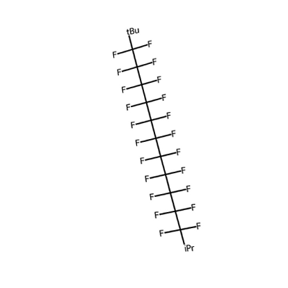 CC(C)C(F)(F)C(F)(F)C(F)(F)C(F)(F)C(F)(F)C(F)(F)C(F)(F)C(F)(F)C(F)(F)C(F)(F)C(F)(F)C(C)(C)C